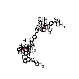 COCOc1cc(-c2c(F)cc3c(N4C[C@H]5CC[C@@](C)(C4)N5C(=O)OC(C)(C)C)nc(OCC4(CN(C)Cc5ccc(CCC(=O)N[C@H](C(=O)N6C[C@H](O)C[C@H]6C(=O)NCc6ccc(-c7scnc7C)cc6)C(C)(C)C)cc5)CC4)nc3c2F)c2ccccc2c1